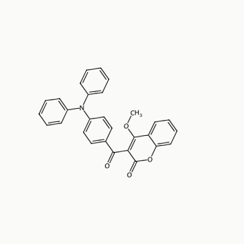 COc1c(C(=O)c2ccc(N(c3ccccc3)c3ccccc3)cc2)c(=O)oc2ccccc12